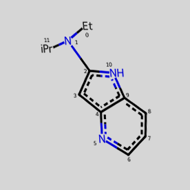 CCN(c1cc2ncccc2[nH]1)C(C)C